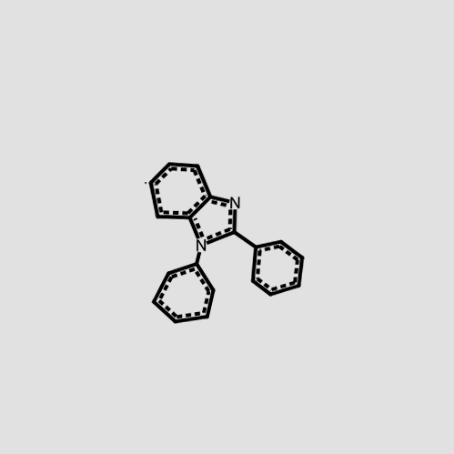 [c]1ccc2nc(-c3ccccc3)n(-c3ccccc3)c2c1